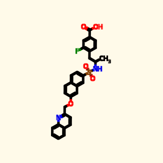 CC(Cc1ccc(C(=O)O)cc1F)NS(=O)(=O)c1ccc2ccc(OCc3ccc4ccccc4n3)cc2c1